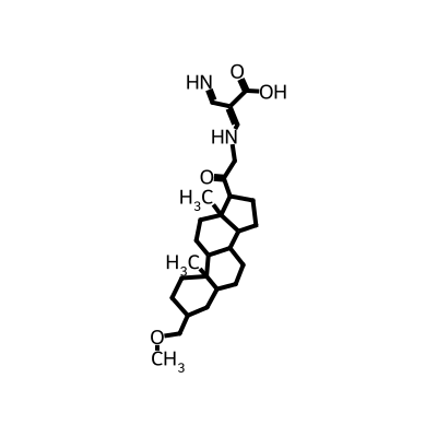 COCC1CCC2(C)C(CCC3C2CCC2(C)C(C(=O)CN/C=C(\C=N)C(=O)O)CCC32)C1